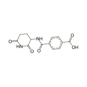 O=C1CCC(NC(=O)c2ccc(C(=O)O)cc2)C(=O)N1